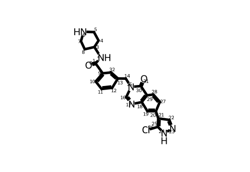 O=C(NC1CCNCC1)c1cccc(Cn2cnc3cc(-c4cn[nH]c4Cl)ccc3c2=O)c1